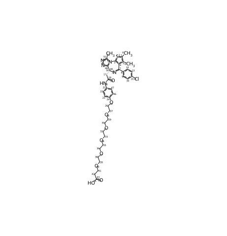 Cc1sc2c(c1C)C(c1ccc(Cl)cc1)=N[C@H](CC(=O)Nc1ccc(OCCOCCOCCOCCOCCOCCC(=O)O)cc1)c1nnc(C)n1-2